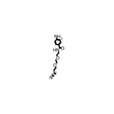 [N-]=[N+]=NCCOCCOCCNC(=O)c1ccc(N)cc1